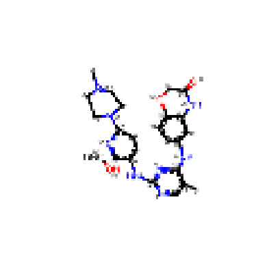 Cc1cnc(Nc2ccc(N3CCN(C)CC3)nc2)nc1Nc1ccc2c(c1)NC(=O)CO2.O=CO